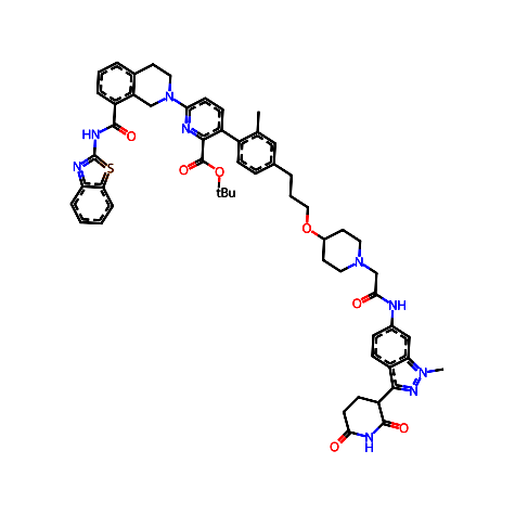 Cc1cc(CCCOC2CCN(CC(=O)Nc3ccc4c(C5CCC(=O)NC5=O)nn(C)c4c3)CC2)ccc1-c1ccc(N2CCc3cccc(C(=O)Nc4nc5ccccc5s4)c3C2)nc1C(=O)OC(C)(C)C